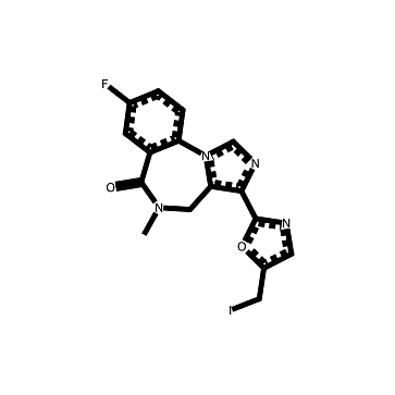 CN1Cc2c(-c3ncc(CI)o3)ncn2-c2ccc(F)cc2C1=O